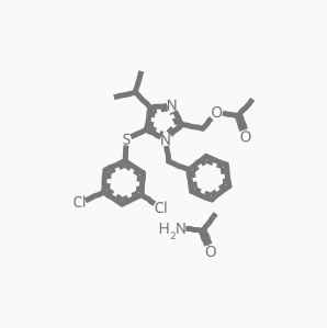 CC(=O)OCc1nc(C(C)C)c(Sc2cc(Cl)cc(Cl)c2)n1Cc1ccccc1.CC(N)=O